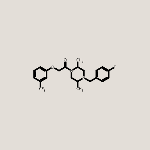 CC1CN(C(=O)COc2cccc(C(F)(F)F)c2)C(C)CN1Cc1ccc(F)cc1